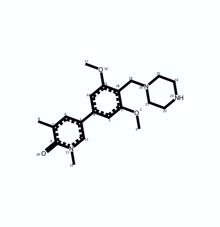 COc1cc(-c2cc(C)c(=O)n(C)c2)cc(OC)c1CN1CCNCC1